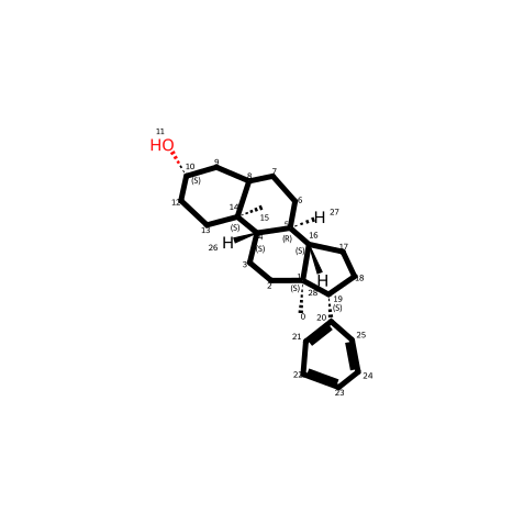 C[C@]12CC[C@H]3[C@@H](CCC4C[C@@H](O)CC[C@@]43C)[C@@H]1CC[C@@H]2c1ccccc1